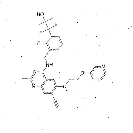 C#Cc1cc2nc(C)nc(NCc3cccc(C(F)(F)C(C)(C)O)c3F)c2cc1OCCOc1cccnc1